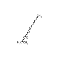 CCCCCCCCCCOCCOCCCC(=O)OCCC(C)C